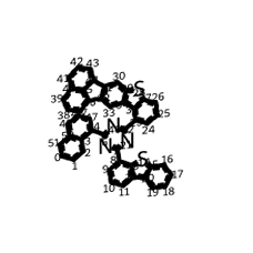 c1ccc2c(-c3nc(-c4cccc5c4sc4ccccc45)nc(-c4cccc5sc6cc7c(cc6c45)-c4cccc5cccc-7c45)n3)cccc2c1